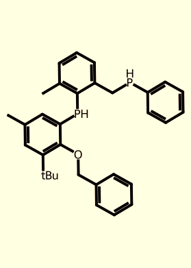 Cc1cc(Pc2c(C)cccc2CPc2ccccc2)c(OCc2ccccc2)c(C(C)(C)C)c1